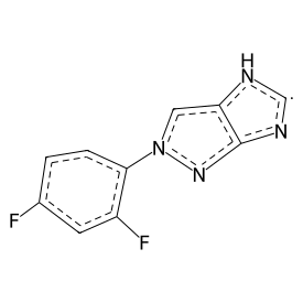 Fc1ccc(-n2cc3[nH][c]nc3n2)c(F)c1